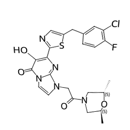 C[C@H]1CN(C(=O)Cn2ccn3c(=O)c(O)c(-c4ncc(Cc5ccc(F)c(Cl)c5)s4)nc23)C[C@H](C)O1